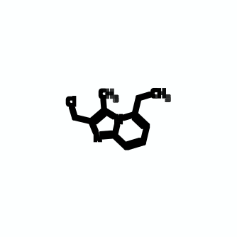 CCc1cccc2nc(CCl)c(C)n12